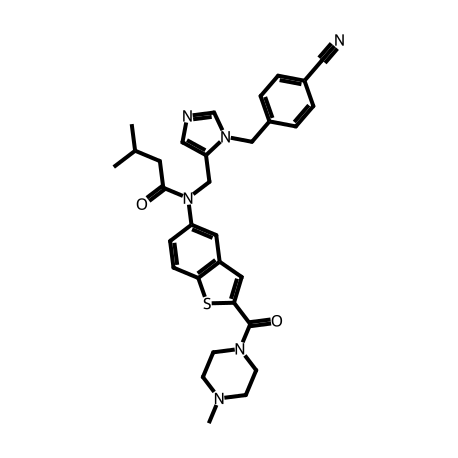 CC(C)CC(=O)N(Cc1cncn1Cc1ccc(C#N)cc1)c1ccc2sc(C(=O)N3CCN(C)CC3)cc2c1